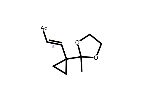 CC(=O)/C=C/C1(C2(C)OCCO2)CC1